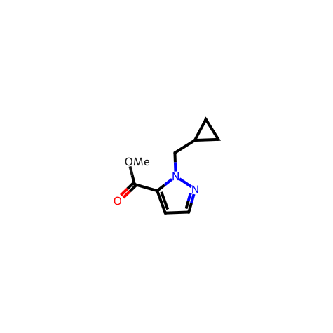 COC(=O)c1ccnn1CC1CC1